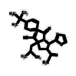 CC(C)CC1(C(=O)O)CC(C(N)=O)C(c2nccs2)N1C(=O)c1ccc(C(C)(C)C)cc1